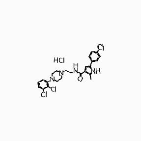 Cc1[nH]c(-c2ccc(Cl)cc2)cc1C(=O)NCCN1CCN(c2cccc(Cl)c2Cl)CC1.Cl